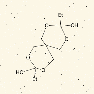 CCC1(O)OCC2(CO1)COC(O)(CC)OC2